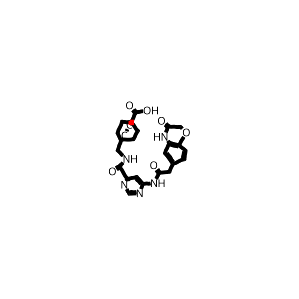 O=C(Cc1ccc2c(c1)NC(=O)CO2)Nc1cc(C(=O)NCC23CCC(C(=O)O)(CC2)CC3)ncn1